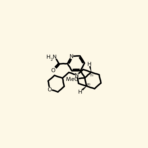 COC1(c2ccnc(C(N)=O)c2)[C@@H]2CCC[C@H]1CN(CC1CCOCC1)C2